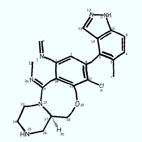 C=Nc1cc(-c2c(C)ccc3[nH]ncc23)c(Cl)c2c1/C(=N\C)N1CCNC[C@@H]1CO2